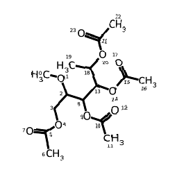 COC(COC(C)=O)C(OC(C)=O)C(OC(C)=O)C(C)OC(C)=O